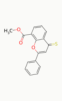 COC(=O)c1cccc2c(=S)cc(-c3ccccc3)oc12